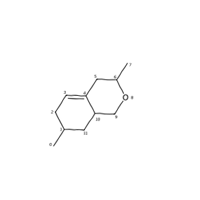 CC1CC=C2CC(C)OCC2C1